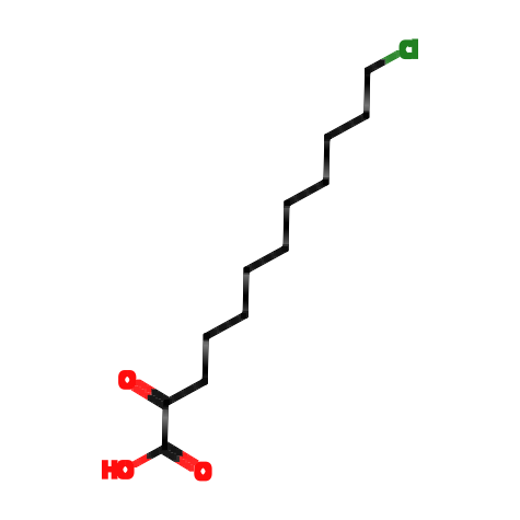 O=C(O)C(=O)CCCCCCCCCCCl